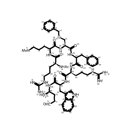 CNCCCC(NC(=O)[C@H](CCCNC(=N)N)NC(C)=O)C(=O)N[C@@H](COCc1ccccc1)C(=O)NC(Cc1ccccc1)C(=O)N[C@@H](CCCNC(=N)N)C(=O)N[C@@H](Cc1c[nH]c2ccccc12)C(=O)NC(CCC=O)C(=O)O